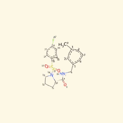 Cc1cccc(CNC(=O)[C@@H]2CCCN2S(=O)(=O)c2ccc(F)cc2)c1